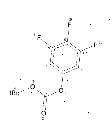 CC(C)(C)OC(=O)Oc1cc(F)c(F)c(F)c1